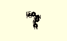 CN(c1ccncc1)c1ccc2ncc(-c3cccc(OC(F)(F)F)c3)n2n1